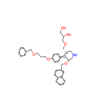 OCC(O)COC[C@@H]1CNC[C@H](OCc2ccc3ccccc3c2)[C@H]1c1ccc(OCCCOCc2ccccc2)cc1